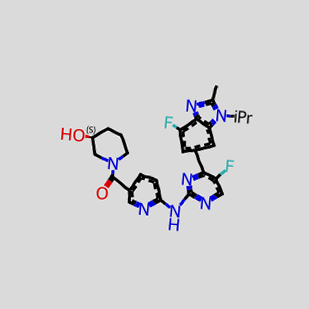 Cc1nc2c(F)cc(-c3nc(Nc4ccc(C(=O)N5CCC[C@H](O)C5)cn4)ncc3F)cc2n1C(C)C